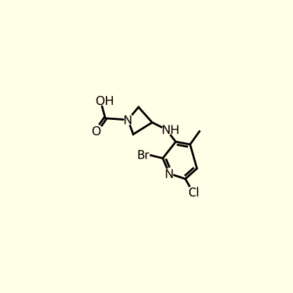 Cc1cc(Cl)nc(Br)c1NC1CN(C(=O)O)C1